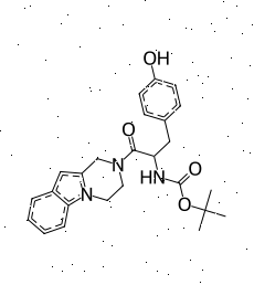 CC(C)(C)OC(=O)NC(Cc1ccc(O)cc1)C(=O)N1CCn2c(cc3ccccc32)C1